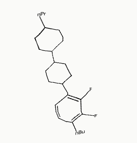 CCCCc1ccc(C2CCC(C3CCC(CCC)CC3)CC2)c(F)c1F